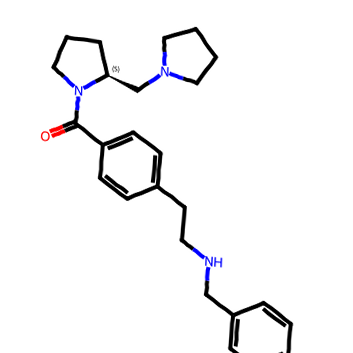 O=C(c1ccc(CCNCc2ccccc2)cc1)N1CCC[C@H]1CN1CCCC1